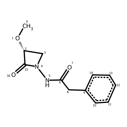 CO[C@@H]1CN(NC(=O)Cc2ccccc2)C1=O